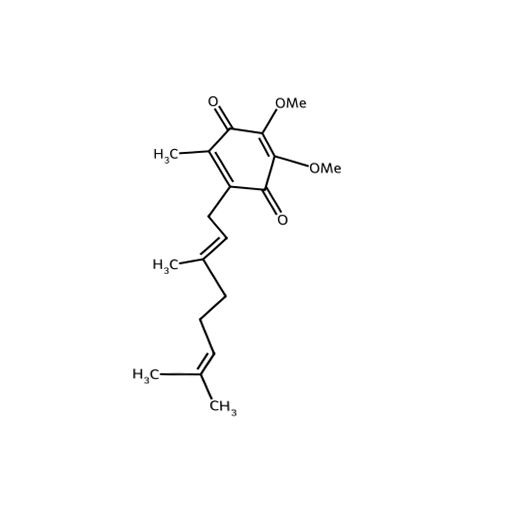 COC1=C(OC)C(=O)C(C/C=C(\C)CCC=C(C)C)=C(C)C1=O